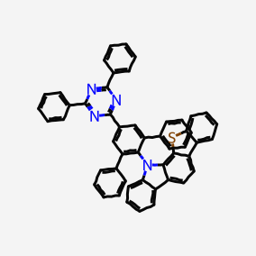 c1ccc(-c2nc(-c3ccccc3)nc(-c3cc(-c4ccccc4)c(-n4c5ccccc5c5ccc6c7ccccc7sc6c54)c(-c4ccccc4)c3)n2)cc1